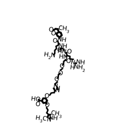 Cc1n[nH]c(C)c1CCCOc1cc(OCCCc2cn(CCOCCOCCOCCC(=O)NC(CCCNC(=N)N)C(=O)NCC(=O)NC(CCCCN)C(=O)Nc3ccc4c(C)cc(=O)oc4c3)nn2)cc(C(=O)O)c1